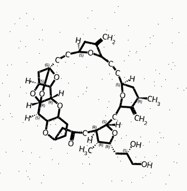 C=C1C[C@@H]2CC[C@@]34C[C@@H]5O[C@H]6[C@@H](O3)C3OC(CCC3O[C@H]6C5O4)CC(=O)C[C@@H]3[C@@H](C)[C@@H](C[C@H](O)CO)O[C@H]3CC3O[C@@H](CCC1O2)C[C@@H](C)C3=C